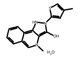 Cc1csc(N2NC3=c4ccccc4=CN(C)C3=C2O)c1.O